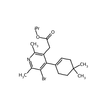 Cc1nc(C)c(CC(=O)OC(C)C)c(C2=CCC(C)(C)CC2)c1Br